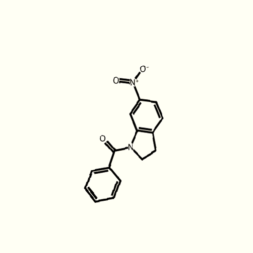 O=C(c1ccccc1)N1CCc2ccc([N+](=O)[O-])cc21